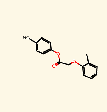 Cc1ccccc1OCC(=O)Oc1ccc(C#N)cc1